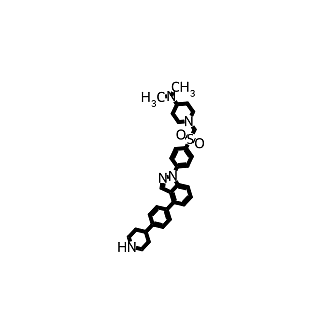 CN(C)C1CCN(CS(=O)(=O)c2ccc(-n3ncc4c(-c5ccc(C6CCNCC6)cc5)cccc43)cc2)CC1